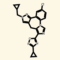 Clc1ccc2c(c1)-c1nn(CC3CC3)cc1Cc1c(-c3nc(C4CC4)no3)ncn1-2